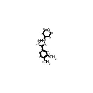 Cc1ccc(-c2nnn(C3CCOCC3)n2)cc1C